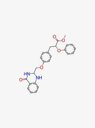 COC(=O)C(Cc1ccc(OCC2NC(=O)c3ccccc3N2)cc1)Oc1ccccc1